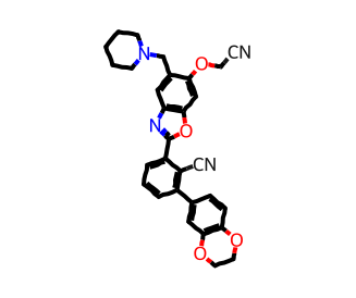 N#CCOc1cc2oc(-c3cccc(-c4ccc5c(c4)OCCO5)c3C#N)nc2cc1CN1CCCCC1